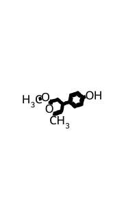 CC=CC(CC(=O)OC)c1ccc(O)cc1